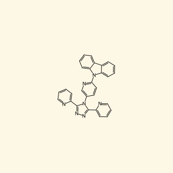 c1ccc(-c2nnc(-c3ccccn3)n2-c2ccc(-n3c4ccccc4c4ccccc43)nc2)nc1